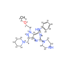 CCOCCn1nc(CN2CCCCC2)c2nc(N3CCNCC3)nc(Nc3ccccc3)c21